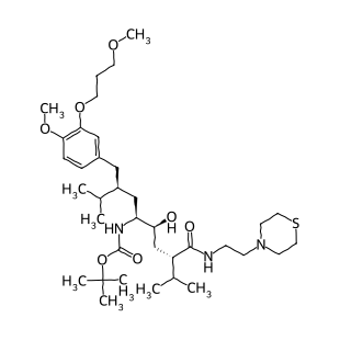 COCCCOc1cc(C[C@@H](C[C@H](NC(=O)OC(C)(C)C)[C@@H](O)C[C@H](C(=O)NCCN2CCSCC2)C(C)C)C(C)C)ccc1OC